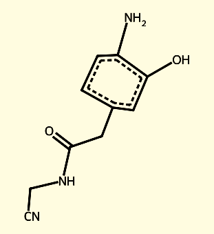 N#CCNC(=O)Cc1ccc(N)c(O)c1